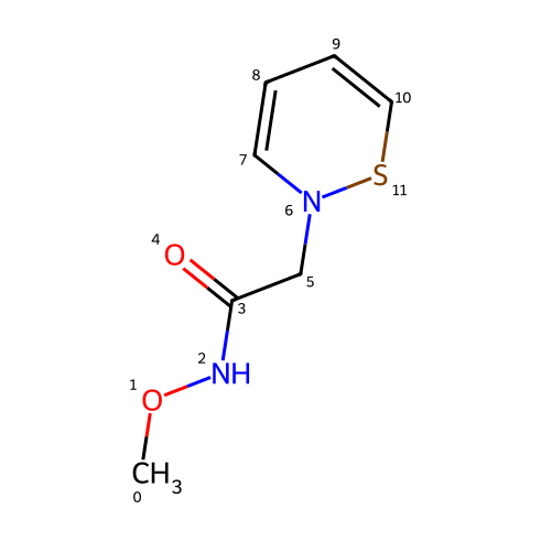 CONC(=O)CN1C=CC=CS1